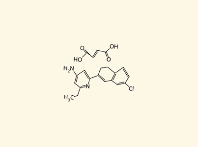 CCc1cc(N)cc(C2=Cc3cc(Cl)ccc3CC2)n1.O=C(O)C=CC(=O)O